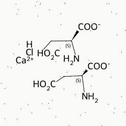 Cl.N[C@@H](CC(=O)O)C(=O)[O-].N[C@@H](CC(=O)O)C(=O)[O-].[Ca+2]